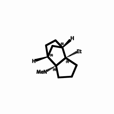 CC[C@]12CCC[C@@]1(NC)[C@@H]1CC[C@H]2C1